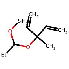 C=CC(C)(C=C)OC(CC)O[SiH3]